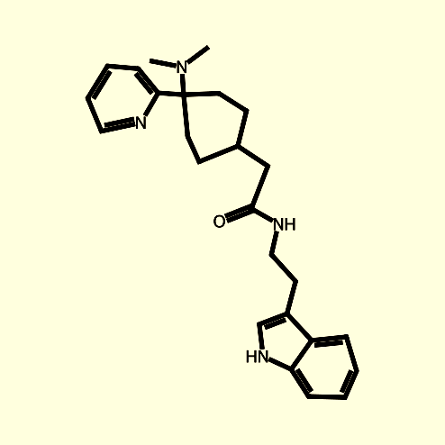 CN(C)C1(c2ccccn2)CCC(CC(=O)NCCc2c[nH]c3ccccc23)CC1